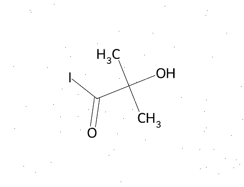 CC(C)(O)C(=O)I